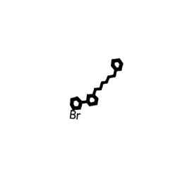 Brc1cccc(-c2cccc(CCCCCCc3ccccc3)c2)c1